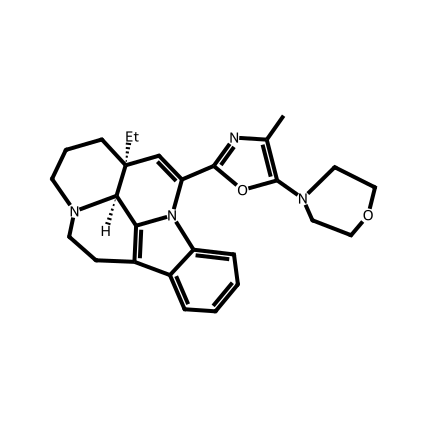 CC[C@@]12C=C(c3nc(C)c(N4CCOCC4)o3)n3c4c(c5ccccc53)CCN(CCC1)[C@H]42